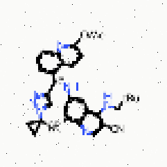 COc1ccc2c([C@H](Nc3cc(C#N)c4ncc(C#N)c(NCC(C)(C)C)c4c3)c3cn(C4(C(F)(F)F)CC4)nn3)cccc2n1